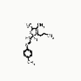 CCCNP(=O)(NC=Nc1ccc(C)cc1)SC(C)CC